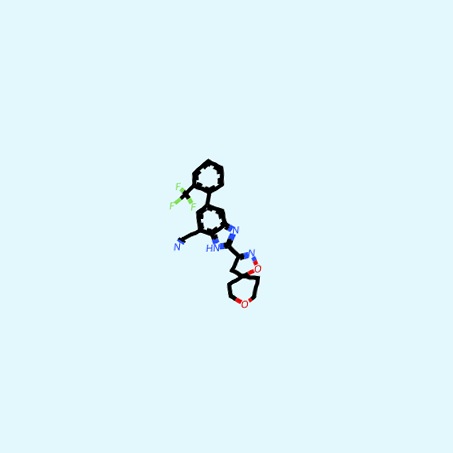 N#Cc1cc(-c2ccccc2C(F)(F)F)cc2nc(C3=NOC4(CCOCC4)C3)[nH]c12